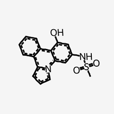 CS(=O)(=O)Nc1cc(O)c2c3ccccc3c3cccn3c2c1